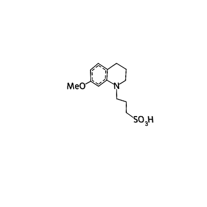 COc1ccc2c(c1)N(CCCS(=O)(=O)O)CCC2